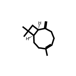 C=C1CCC=C(C)CC[C@@H]2[C@H]1CC2(C)C